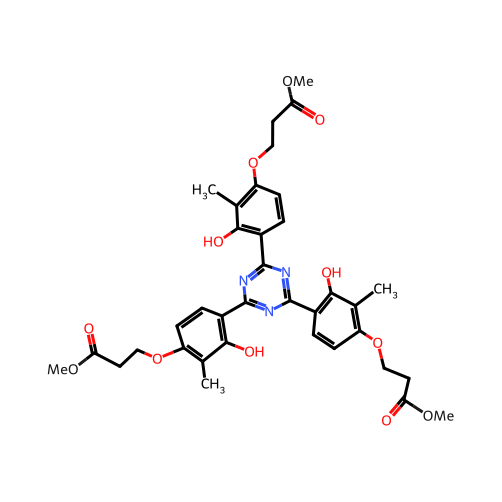 COC(=O)CCOc1ccc(-c2nc(-c3ccc(OCCC(=O)OC)c(C)c3O)nc(-c3ccc(OCCC(=O)OC)c(C)c3O)n2)c(O)c1C